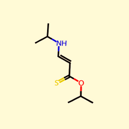 CC(C)NC=CC(=S)OC(C)C